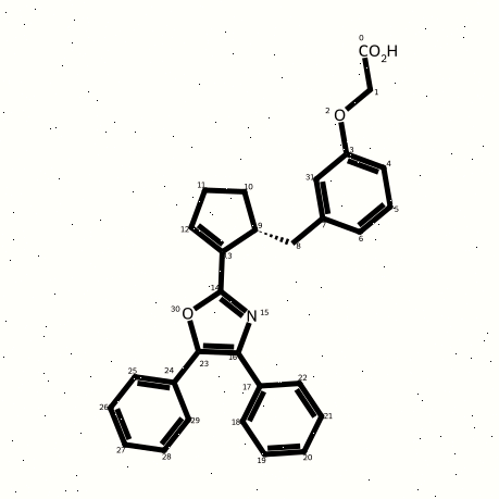 O=C(O)COc1cccc(C[C@H]2CCC=C2c2nc(-c3ccccc3)c(-c3ccccc3)o2)c1